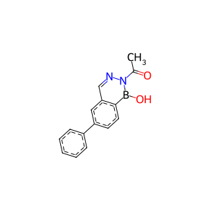 CC(=O)N1N=Cc2cc(-c3ccccc3)ccc2B1O